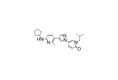 Cc1nc(NC2CCCC2)ccc1-c1cnn(-c2ccc(=O)n(CC(C)C)c2)c1